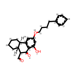 O=CC1C(=O)c2c(O)cc(OCCCCc3ccccc3)cc2[C@@H]2CCCC[C@@H]12